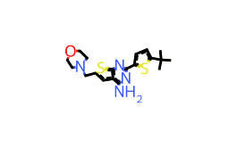 CC(C)(C)c1ccc(-c2nc(N)c3cc(CN4CCOCC4)sc3n2)s1